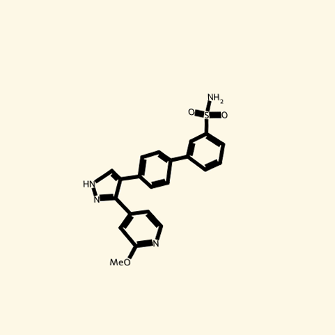 COc1cc(-c2n[nH]cc2-c2ccc(-c3cccc(S(N)(=O)=O)c3)cc2)ccn1